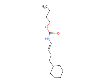 CCCCOC(=O)NC=CCCC1CCCCC1